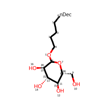 CCCCCCCCCCCCCCOC1O[C@H](CO)[C@@H](O)[C@H](O)[C@H]1O